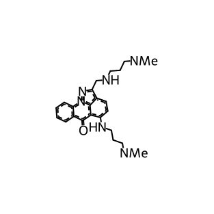 CNCCCNCc1nn2c3ccccc3c(=O)c3c(NCCCNC)ccc1c32